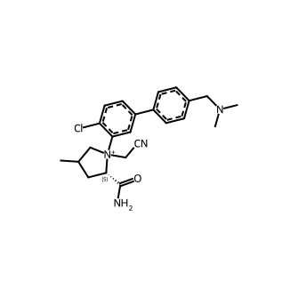 CC1C[C@@H](C(N)=O)[N+](CC#N)(c2cc(-c3ccc(CN(C)C)cc3)ccc2Cl)C1